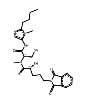 CCCCc1ncc(NC(=O)[C@@H](CS)N(C)C(=O)[C@@H](S)CCCN2C(=O)c3ccccc3C2=O)n1C